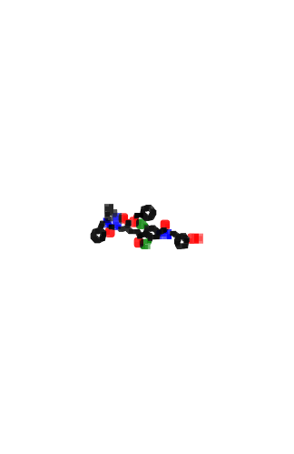 CN(Cc1ccccc1)C(=O)NC[C@H](CCC(=O)c1c(Cl)cc(C(=O)NCc2cccc(O)c2)cc1Cl)C(=O)OCc1ccccc1